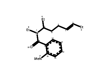 CCC=CCCC(CC)N(CC)C(=O)c1ccccc1NC